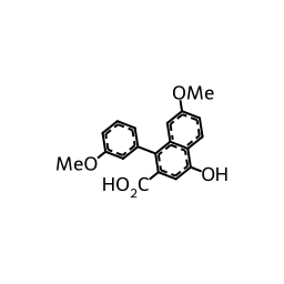 COc1cccc(-c2c(C(=O)O)cc(O)c3ccc(OC)cc23)c1